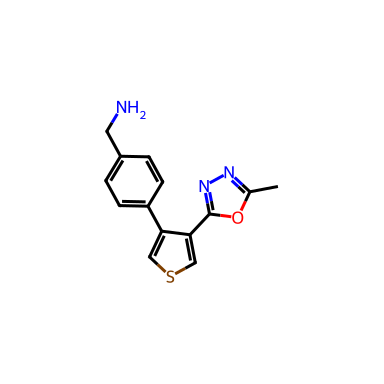 Cc1nnc(-c2cscc2-c2ccc(CN)cc2)o1